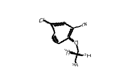 [2H]C([2H])([2H])Oc1ccc(Cl)cc1C#N